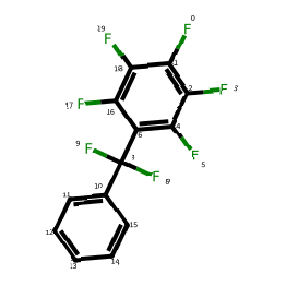 Fc1c(F)c(F)c(C(F)(F)c2cc[c]cc2)c(F)c1F